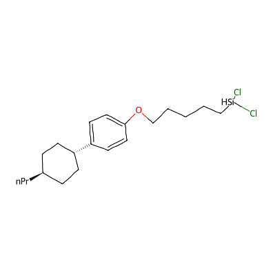 CCC[C@H]1CC[C@H](c2ccc(OCCCCC[SiH](Cl)Cl)cc2)CC1